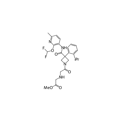 COC(=O)CNCC(=O)N1CC(C(=O)Nc2ccc(C)nc2OC(F)F)(c2ccccc2C(C)C)C1